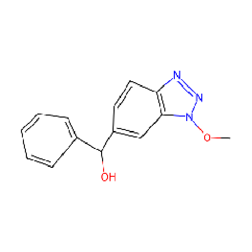 COn1nnc2ccc(C(O)c3ccccc3)cc21